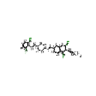 Fc1cc2cc(/C=C/C3CCC(/C=C/c4c(F)cccc4F)CC3)ccc2c(F)c1C#CC(F)(F)F